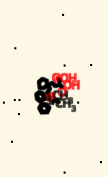 CC(C)C[Si](OCCC1(CCC(C(=O)O)C(=O)O)CCCCC1)(c1ccccc1)c1ccccc1